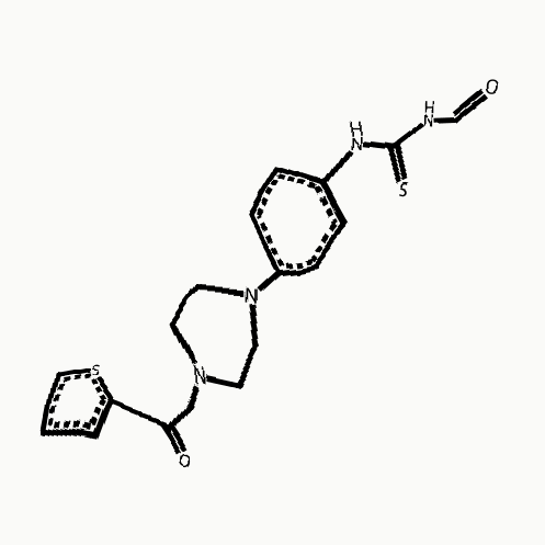 O=CNC(=S)Nc1ccc(N2CCN(C(=O)c3cccs3)CC2)cc1